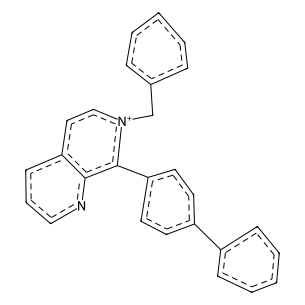 c1ccc(C[n+]2ccc3cccnc3c2-c2ccc(-c3ccccc3)cc2)cc1